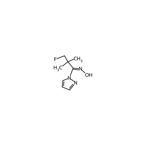 CC(C)(CF)/C(=N/O)n1cccn1